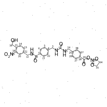 O=C(NCc1ccc(C(=O)NCc2ccc(CO)c([N+](=O)[O-])c2)cc1)NCc1ccc(C(=O)ON2OCCO2)cc1